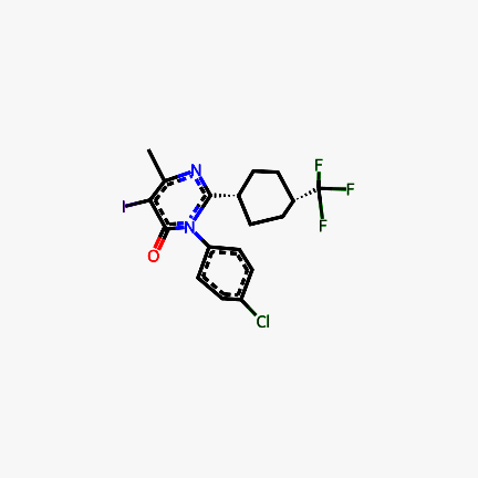 Cc1nc([C@H]2CC[C@@H](C(F)(F)F)CC2)n(-c2ccc(Cl)cc2)c(=O)c1I